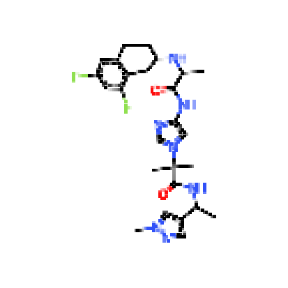 CC(NC1CCc2cc(F)cc(F)c2C1)C(=O)Nc1cn(C(C)(C)C(=O)NC(C)c2cnn(C)c2)cn1